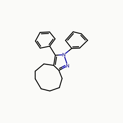 c1ccc(-c2c3c(nn2-c2ccccc2)CCCCCCC3)cc1